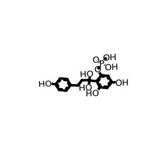 O=P(O)(O)Oc1cc(O)cc(O)c1C(O)(O)CCc1ccc(O)cc1